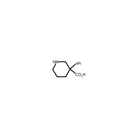 CCCC1(C(=O)O)CCCNC1